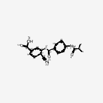 CC(C)C(=O)Nc1ccc(C(=O)Oc2cc(C(=O)O)ccc2C#N)cc1